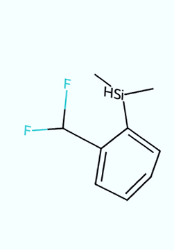 C[SiH](C)c1ccccc1C(F)F